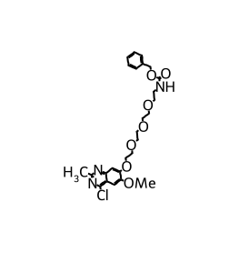 COc1cc2c(Cl)nc(C)nc2cc1OCCOCCOCCOCCNC(=O)OCc1ccccc1